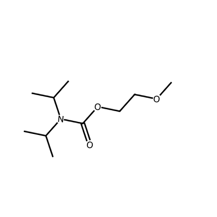 COCCOC(=O)N(C(C)C)C(C)C